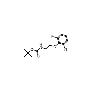 CC(C)(C)OC(=O)NCCOc1c(F)cccc1Cl